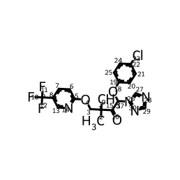 CC(C)(COc1ccc(C(F)(F)F)cn1)C(=O)C(Oc1ccc(Cl)cc1)n1cncn1